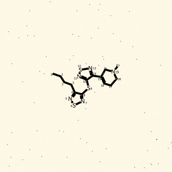 CCCCc1nsnc1Sc1nsnc1C1=CCCN(C)C1